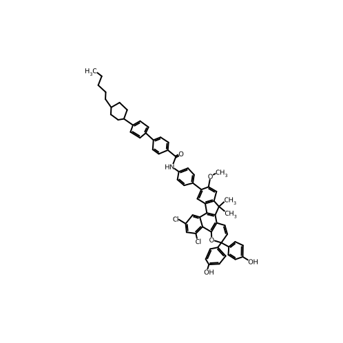 CCCCCC1CCC(c2ccc(-c3ccc(C(=O)Nc4ccc(-c5cc6c(cc5OC)C(C)(C)c5c7c(c8c(Cl)cc(Cl)cc8c5-6)OC(c5ccc(O)cc5)(c5ccc(O)cc5)C=C7)cc4)cc3)cc2)CC1